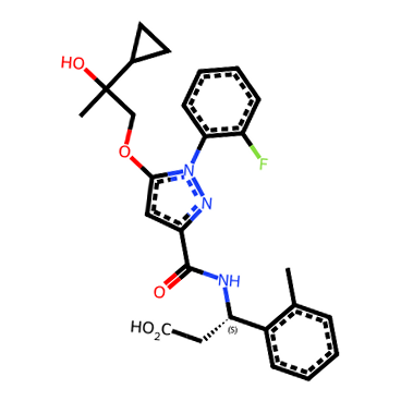 Cc1ccccc1[C@H](CC(=O)O)NC(=O)c1cc(OCC(C)(O)C2CC2)n(-c2ccccc2F)n1